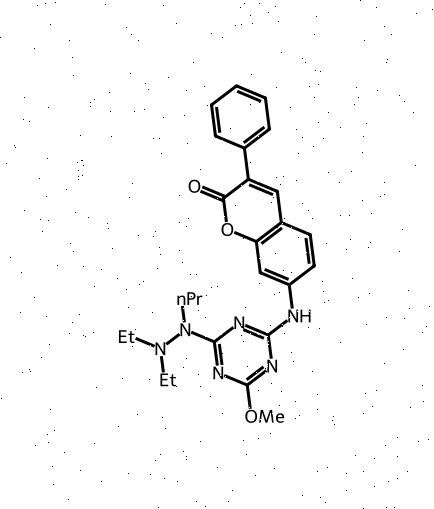 CCCN(c1nc(Nc2ccc3cc(-c4ccccc4)c(=O)oc3c2)nc(OC)n1)N(CC)CC